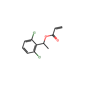 C=CC(=O)OC(C)c1c(Cl)cccc1Cl